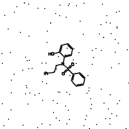 CC(C)CCN(c1c[c]ccc1O)S(=O)(=O)c1ccccc1